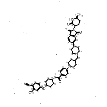 C=C1CCC(N2C(=O)c3ccc(N4CCN(CC5CCN(c6ccc(C(=O)N[C@H]7CC[C@H](Oc8ccc(C#N)c(Cl)c8)CC7)cc6)CC5)CC4)cc3C2=O)C(=O)N1